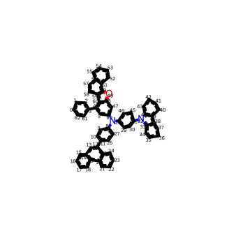 c1ccc(-c2cc(N(c3ccc(-c4cc5ccccc5c5ccccc45)cc3)c3ccc(-n4c5ccccc5c5ccccc54)cc3)cc3oc4c5ccccc5ccc4c23)cc1